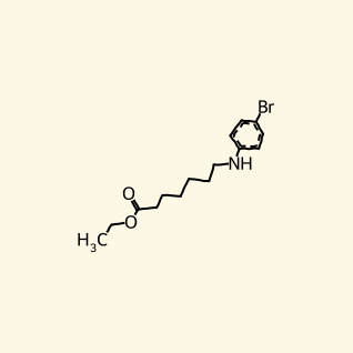 CCOC(=O)CCCCCCNc1ccc(Br)cc1